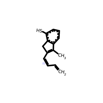 C=C/C=C\C1=C(C)c2cccc(S)c2C1